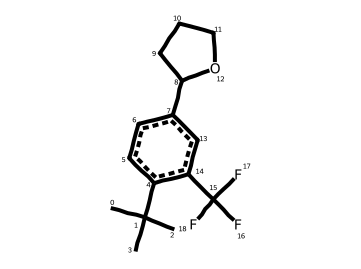 CC(C)(C)c1ccc(C2CCCO2)cc1C(F)(F)F